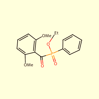 CCOP(=O)(C(=O)c1c(OC)cccc1OC)c1ccccc1